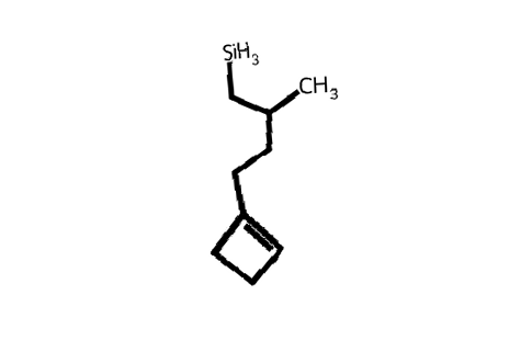 CC(C[SiH3])CCC1=CCC1